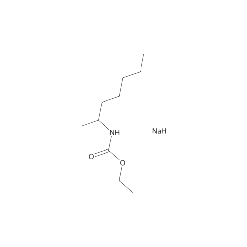 CCCCCC(C)NC(=O)OCC.[NaH]